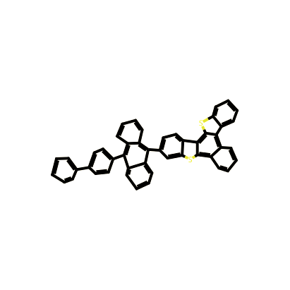 c1ccc(-c2ccc(-c3c4ccccc4c(-c4ccc5c(c4)sc4c6ccccc6c6c7ccccc7sc6c54)c4ccccc34)cc2)cc1